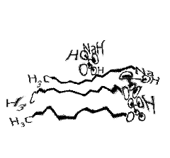 CCCCCCCCCCCCOS(=O)(=O)O.CCCCCCCCCCCCOS(=O)(=O)O.CCCCCCCCCCC[CH2][Na].O=S(=O)(O)O.[NaH]